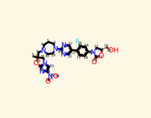 CC1(CN2CCCN(c3ncc(-c4ccc(N5C[C@H](CO)OC5=O)cc4F)cn3)CC2)Cn2cc([N+](=O)[O-])nc2O1